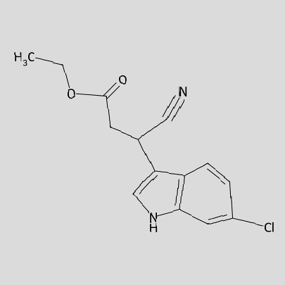 CCOC(=O)CC(C#N)c1c[nH]c2cc(Cl)ccc12